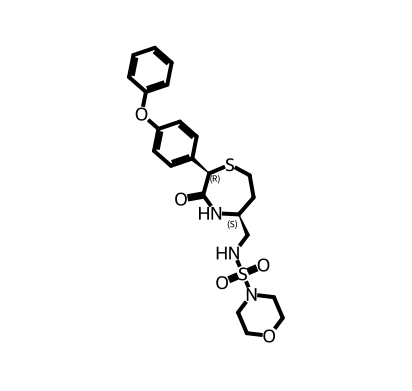 O=C1N[C@H](CNS(=O)(=O)N2CCOCC2)CCS[C@@H]1c1ccc(Oc2ccccc2)cc1